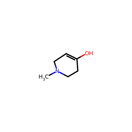 CN1CC=C(O)CC1